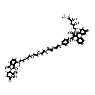 CC(C)c1c(C(=O)Nc2ccc(OCCOCCOCCOCCOCCOCCNc3cccc4c3C(=O)N(C3CCC(=O)NC3=O)C4=O)cc2)c(-c2ccccc2)c(-c2ccc(F)cc2)n1CC[C@@H](O)C[C@@H](O)CC(=O)O